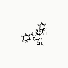 CC(C)C[C@H](Nc1ccccc1)C(=O)OCc1ccccc1